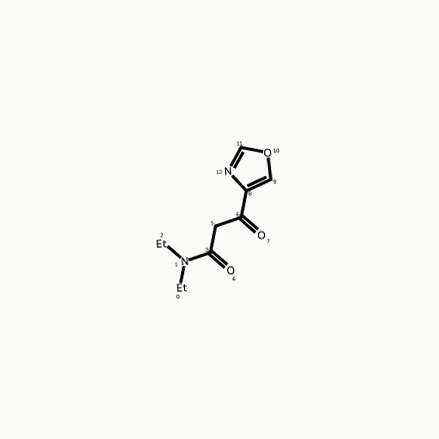 CCN(CC)C(=O)CC(=O)c1cocn1